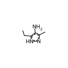 CCc1[nH]nc(C)c1N